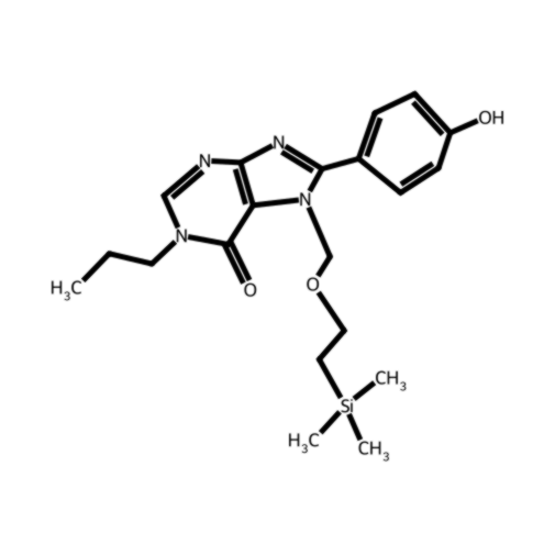 CCCn1cnc2nc(-c3ccc(O)cc3)n(COCC[Si](C)(C)C)c2c1=O